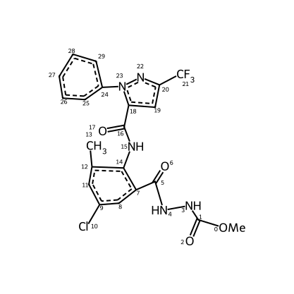 COC(=O)NNC(=O)c1cc(Cl)cc(C)c1NC(=O)c1cc(C(F)(F)F)nn1-c1ccccc1